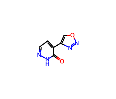 O=c1[nH]nccc1-c1conn1